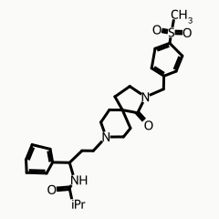 CC(C)C(=O)NC(CCN1CCC2(CC1)CCN(Cc1ccc(S(C)(=O)=O)cc1)C2=O)c1ccccc1